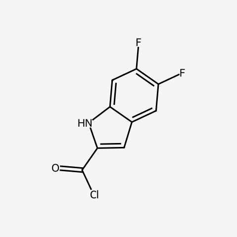 O=C(Cl)c1cc2cc(F)c(F)cc2[nH]1